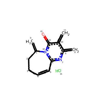 C=C1CCC=Cc2nc(=C)c(=C)c(=O)n21.Cl